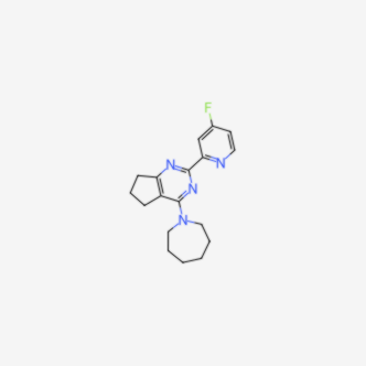 Fc1ccnc(-c2nc3c(c(N4CCCCCC4)n2)CCC3)c1